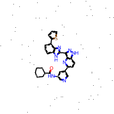 O=C(Nc1cncc(-c2ccc3[nH]nc(-c4nc5c(-c6cccs6)cccc5[nH]4)c3n2)c1)C1CCCCC1